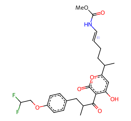 COC(=O)N/C=C/CCC(C)c1cc(O)c(C(=O)C(C)Cc2ccc(OCC(F)F)cc2)c(=O)o1